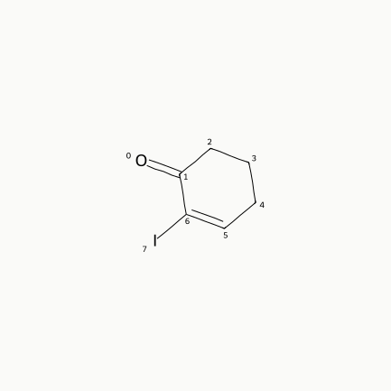 O=C1CCCC=C1I